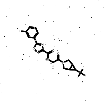 C[C@H](NC(=O)c1noc(-c2cccc(F)c2)n1)C(=O)N1CC2C(C1)C2C(F)(F)F